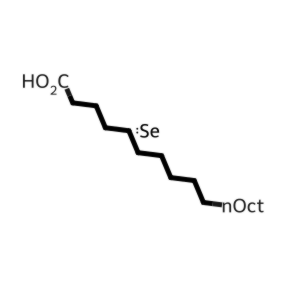 CCCCCCCCCCCCCCCCCC(=O)O.[Se]